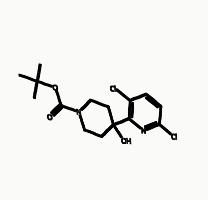 CC(C)(C)OC(=O)N1CCC(O)(c2nc(Cl)ccc2Cl)CC1